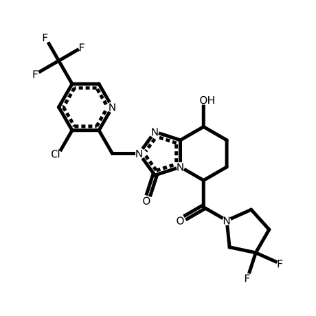 O=C(C1CCC(O)c2nn(Cc3ncc(C(F)(F)F)cc3Cl)c(=O)n21)N1CCC(F)(F)C1